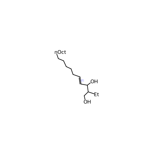 CCCCCCCCCCCCC/C=C/C(O)C(CC)CO